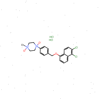 CC[N+]1([O-])CC[N+]([O-])(c2ccc(COc3cccc4c(Cl)c(Cl)ccc34)cc2)CC1.Cl.Cl